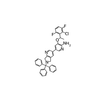 CC(Oc1cc(-c2cnc3c(c2)CN(C(c2ccccc2)(c2ccccc2)c2ccccc2)C3)cnc1N)c1c(F)ccc(F)c1Cl